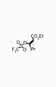 CCOC(=O)/C=C(\OS(=O)(=O)C(F)(F)F)C(C)C